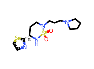 O=S1(=O)N[C@H](c2nccs2)CCN1CCCN1CCCC1